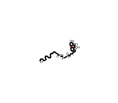 CC/C=C\C/C=C\C/C=C\C/C=C\C/C=C\C/C=C\CCC(=O)NCCN(C)CCNC(=O)CC[C@@H](C)C1CC[C@H]2[C@@H]3[C@H](O)[C@H](CC)[C@@H]4C[C@H](O)CC[C@]4(C)[C@H]3CC[C@]12C